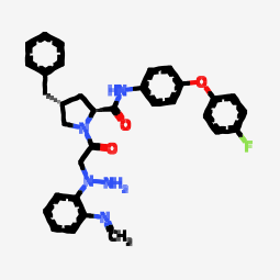 C=Nc1ccccc1N(N)CC(=O)N1C[C@H](Cc2ccccc2)C[C@H]1C(=O)Nc1ccc(Oc2ccc(F)cc2)cc1